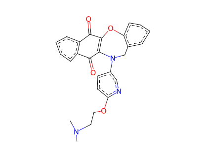 CN(C)CCOc1ccc(N2Cc3ccccc3OC3=C2C(=O)c2ccccc2C3=O)cn1